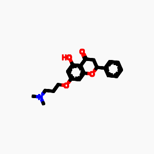 CN(C)CCCOc1cc(O)c2c(c1)OC(c1ccccc1)CC2=O